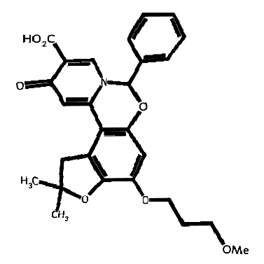 COCCCOc1cc2c(c3c1OC(C)(C)C3)-c1cc(=O)c(C(=O)O)cn1C(c1ccccc1)O2